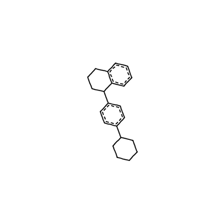 c1ccc2c(c1)CCCC2c1ccc(C2CCCCC2)cc1